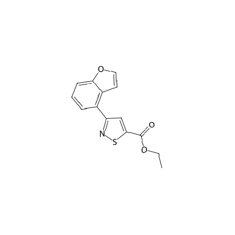 CCOC(=O)c1cc(-c2cccc3occc23)ns1